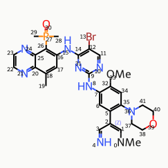 CN/C=C(\C=N)c1cc(Nc2ncc(Br)c(Nc3cc(C)c4nccnc4c3P(C)(C)=O)n2)c(OC)cc1N1CCOCC1